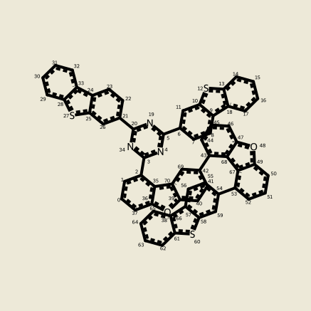 c1cc(-c2nc(-c3ccc4c(c3)sc3ccccc34)nc(-c3ccc4c(c3)sc3ccccc34)n2)c2c(c1)oc1ccc(-c3cccc4oc5cccc(-c6ccc7c(c6)sc6ccccc67)c5c34)cc12